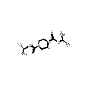 C[C@H](O)OC(=O)N1CCN(C(=O)O[C@H](C)O)CC1